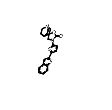 O=C1OC2(CN3CCC2CC3)CN1c1ccc(-c2cc3ccccc3s2)s1